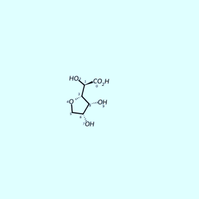 O=C(O)[C@H](O)[C@H]1OC[C@@H](O)[C@H]1O